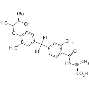 CCC(CC)(c1ccc(OC(C)C(O)C(C)(C)C)c(C)c1)c1ccc(C(=O)N[C@@H](C)C(=O)O)c(C)c1